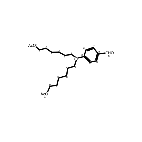 CC(=O)OCCCCCCN(CCCCCCOC(C)=O)c1ccc(C=O)cc1